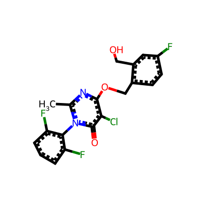 Cc1nc(OCc2ccc(F)cc2CO)c(Cl)c(=O)n1-c1c(F)cccc1F